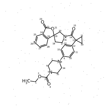 CCOC(=O)N1CCN(c2ccc(C3(C(=O)N4CCC5(C4)OC(=O)c4cnccc45)CC3)cc2)CC1